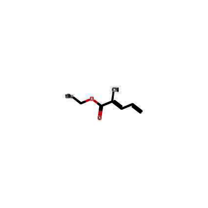 C=C/C=C(\C#N)C(=O)OCC(C)(C)C